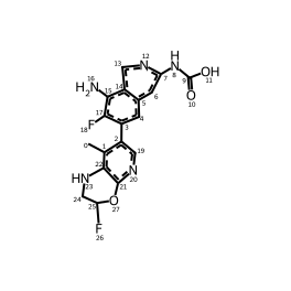 Cc1c(-c2cc3cc(NC(=O)O)ncc3c(N)c2F)cnc2c1NCC(F)O2